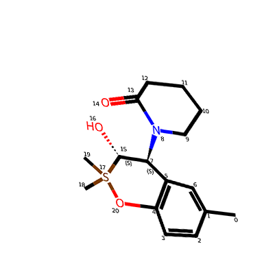 Cc1ccc2c(c1)[C@H](N1CCCCC1=O)[C@@H](O)S(C)(C)O2